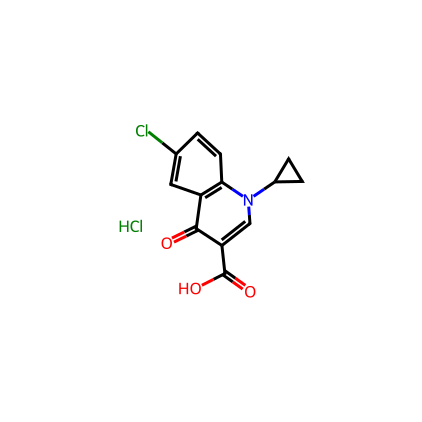 Cl.O=C(O)c1cn(C2CC2)c2ccc(Cl)cc2c1=O